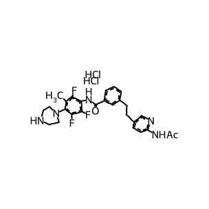 CC(=O)Nc1ccc(CCc2cccc(C(=O)Nc3c(F)c(C)c(N4CCNCC4)c(F)c3F)c2)cn1.Cl.Cl